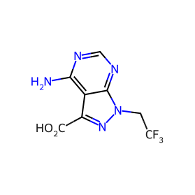 Nc1ncnc2c1c(C(=O)O)nn2CC(F)(F)F